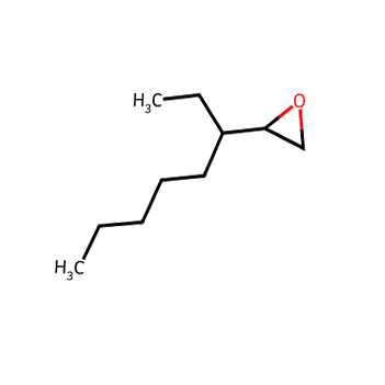 CCCCCC(CC)C1CO1